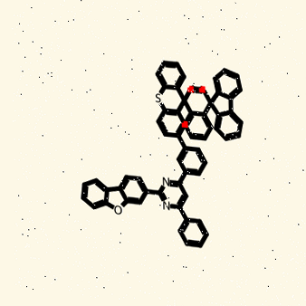 c1ccc(-c2cc(-c3cccc(-c4ccc5c(c4)C4(c6ccccc6S5)c5ccccc5C5(c6ccccc6-c6ccccc65)c5ccccc54)c3)nc(-c3ccc4c(c3)oc3ccccc34)n2)cc1